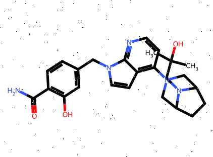 CC(C)(O)CN1C2CCC1CN(c1ccnc3c1ccn3Cc1ccc(C(N)=O)c(O)c1)C2